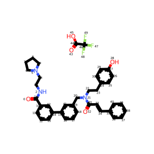 O=C(NCCN1CCCC1)c1cccc(-c2cccc(CN(CCc3ccc(O)cc3)C(=O)C=Cc3ccccc3)c2)c1.O=C(O)C(F)(F)F